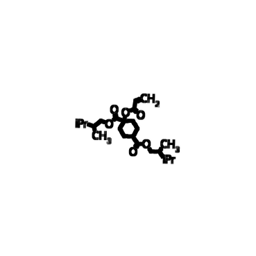 C=CC(=O)OC1(C(=O)OCC(C)C(C)C)CCC(C(=O)OCC(C)C(C)C)CC1